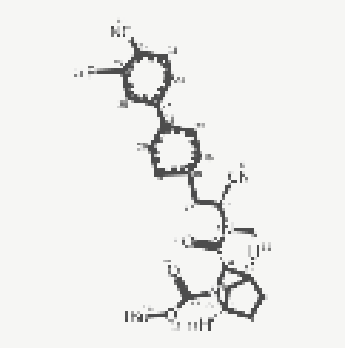 CN(C(=O)[C@@H]1[C@H]2CC[C@H](C2)N1C(=O)OC(C)(C)C)[C@H](C#N)Cc1ccc(-c2ccc(C#N)c(F)c2)cc1